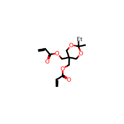 C=CC(=O)OCC1(COC(=O)C=C)COC(C)(CC)OC1